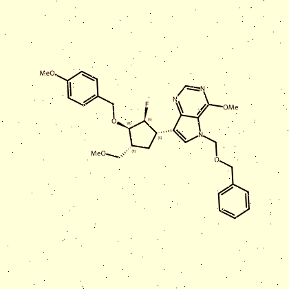 COC[C@H]1C[C@@H](c2cn(COCc3ccccc3)c3c(OC)ncnc23)[C@H](F)[C@@H]1OCc1ccc(OC)cc1